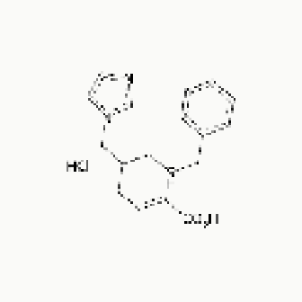 Cl.O=C(O)C1=CCC(Cn2ccnc2)C[SH]1Cc1ccccc1